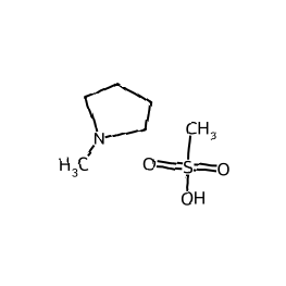 CN1CCCC1.CS(=O)(=O)O